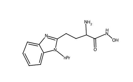 CCCn1c(CCC(N)C(=O)NO)nc2ccccc21